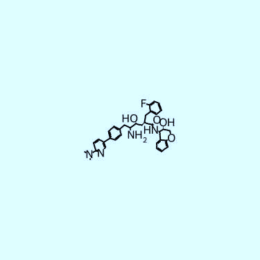 CN(C)c1ccc(-c2ccc(C[C@H](N)[C@@H](O)C[C@@H](Cc3ccccc3F)C(=O)N[C@H]3c4ccccc4OC[C@H]3O)cc2)cn1